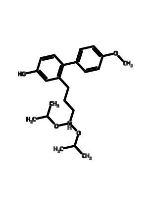 COc1ccc(-c2ccc(O)cc2CCC[SiH](OC(C)C)OC(C)C)cc1